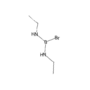 CCNB(Br)NCC